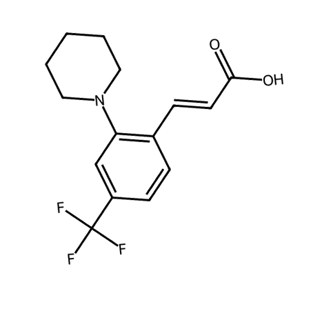 O=C(O)C=Cc1ccc(C(F)(F)F)cc1N1CCCCC1